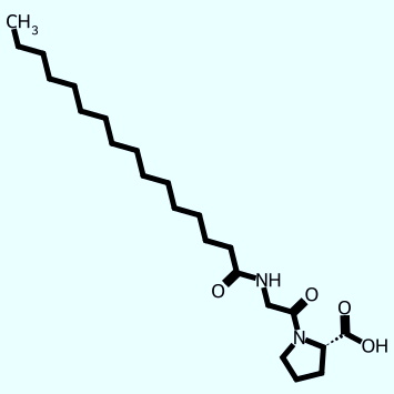 CCCCCCCCCCCCCCCC(=O)NCC(=O)N1CCC[C@H]1C(=O)O